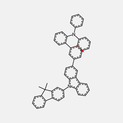 CC1(C)c2ccccc2-c2ccc(-n3c4ccccc4c4cc(-c5cccc(-c6ccccc6N(c6ccccc6)c6cccnc6)c5)ccc43)cc21